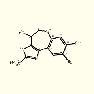 O=C(O)c1nc2c(s1)C(O)COc1cc(F)c(Br)cc1-2